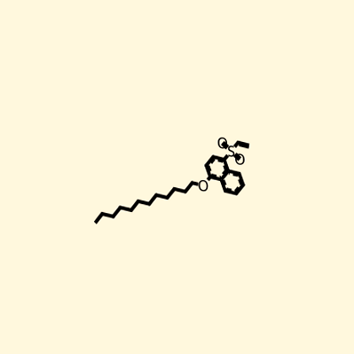 C=CS(=O)(=O)c1ccc(OCCCCCCCCCCCC)c2ccccc12